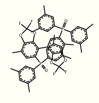 Cc1cc(C)cc(P(=O)(c2cc(C)cc(C)c2)c2cc(-c3c(P(=O)(c4cc(C)cc(C)c4)c4cc(C)cc(C)c4)cc(C)c4c3OC(F)(F)O4)c3c(c2C)OC(F)(F)O3)c1